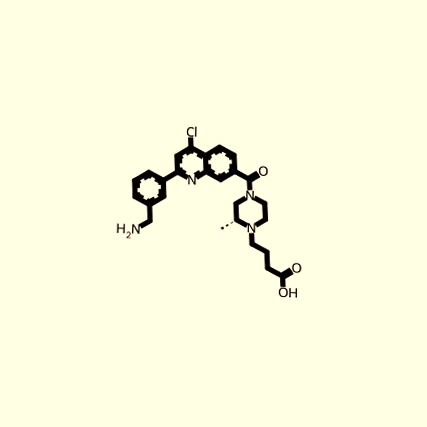 C[C@@H]1CN(C(=O)c2ccc3c(Cl)cc(-c4cccc(CN)c4)nc3c2)CCN1CCCC(=O)O